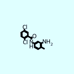 Cc1ccc(NC(=O)c2cc(Cl)ccc2Cl)cc1N